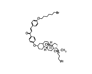 CC(C)CCC[C@@H](C)[C@H]1CC[C@H]2[C@@H]3CCC4CC(Oc5ccc(C(=O)/C=C/c6ccc(OCCCCCCBr)cc6)cc5)CC[C@]4(C)[C@H]3CC[C@]12C